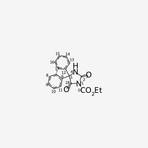 CCOC(=O)N1C(=O)NC(c2ccccc2)(c2ccccc2)C1=O